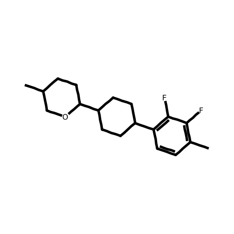 Cc1ccc(C2CCC(C3CCC(C)CO3)CC2)c(F)c1F